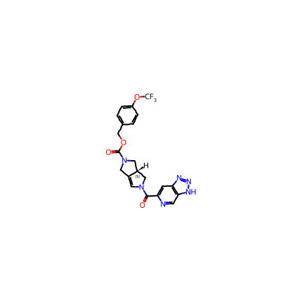 O=C(c1cc2nn[nH]c2cn1)N1C=C2CN(C(=O)OCc3ccc(OC(F)(F)F)cc3)C[C@@H]2C1